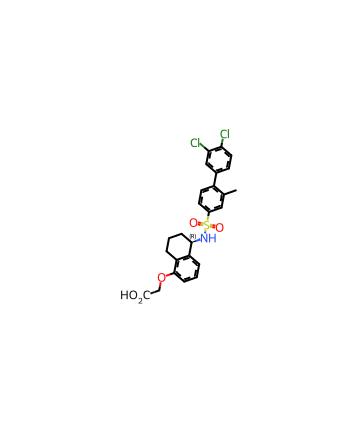 Cc1cc(S(=O)(=O)N[C@@H]2CCCc3c(OCC(=O)O)cccc32)ccc1-c1ccc(Cl)c(Cl)c1